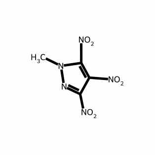 Cn1nc([N+](=O)[O-])c([N+](=O)[O-])c1[N+](=O)[O-]